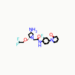 N[C@@H]1C[C@@H](COCC(F)F)N(CC(=O)Nc2ccc(-n3ccccc3=O)cc2F)C1